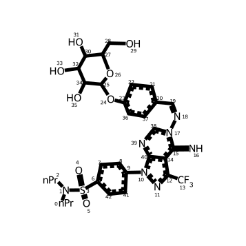 CCCN(CCC)S(=O)(=O)c1ccc(-n2nc(C(F)(F)F)c3c(=N)n(/N=C\c4ccc(OC5OC(CO)C(O)C(O)C5O)cc4)cnc32)cc1